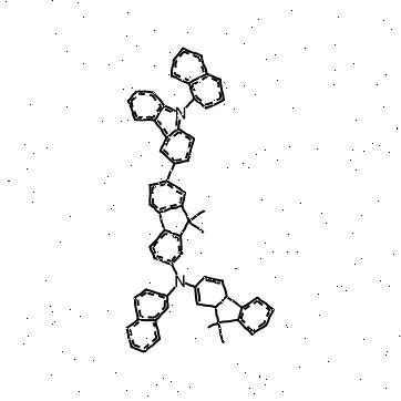 CC1(C)c2cc(-c3ccc4c(c3)c3ccccc3n4-c3cccc4ccccc34)ccc2-c2ccc(N(C3=CC4C(C=C3)c3ccccc3C4(C)C)c3ccc4ccccc4c3)cc21